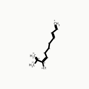 C=CC=CCCCC=C(CC)C(=C)C